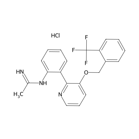 CC(=N)Nc1ccccc1-c1ncccc1OCc1ccccc1C(F)(F)F.Cl